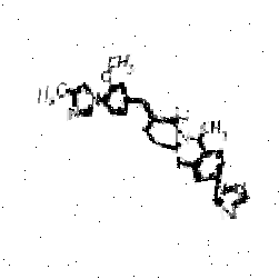 COc1cc(C=C2CCCN(C(C)c3ccc(-n4cncn4)cc3F)C2=O)ccc1-n1cnc(C)c1